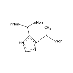 CCCCCCCCCC(CCCCCCCCC)c1[nH]cc[n+]1C(C)CCCCCCCCC